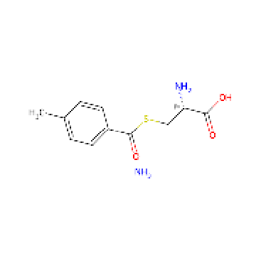 Cc1ccc(C(=O)SC[C@H](N)C(=O)O)cc1.N